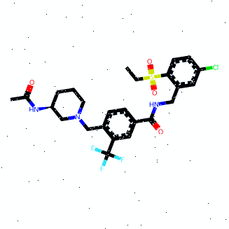 CCS(=O)(=O)c1ccc(Cl)cc1CNC(=O)c1ccc(CN2CCC[C@H](NC(C)=O)C2)c(C(F)(F)F)c1